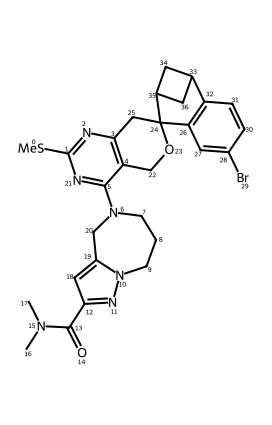 CSc1nc2c(c(N3CCCn4nc(C(=O)N(C)C)cc4C3)n1)COC1(C2)c2cc(Br)ccc2C2CC1C2